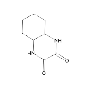 O=C1NC2CCCCC2NC1=O